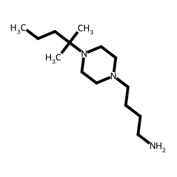 CCCC(C)(C)N1CCN(CCCCN)CC1